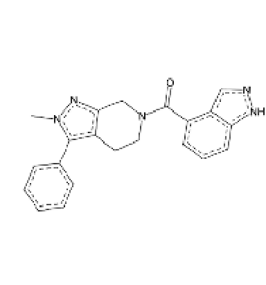 Cn1nc2c(c1-c1ccccc1)CCN(C(=O)c1cccc3[nH]ncc13)C2